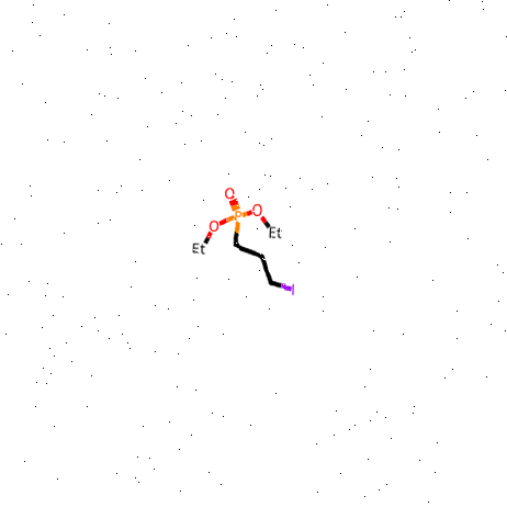 CCOP(=O)(CCCI)OCC